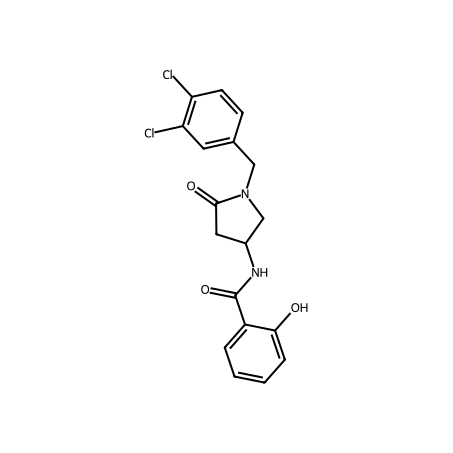 O=C(NC1CC(=O)N(Cc2ccc(Cl)c(Cl)c2)C1)c1ccccc1O